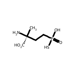 C[C@](N)(CCP(=O)(O)S)C(=O)O